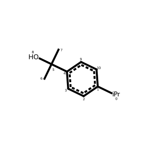 CC(C)c1ccc(C(C)(C)O)cc1